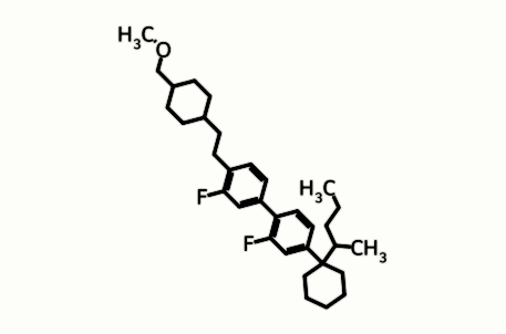 CCCC(C)C1(c2ccc(-c3ccc(CCC4CCC(COC)CC4)c(F)c3)c(F)c2)CCCCC1